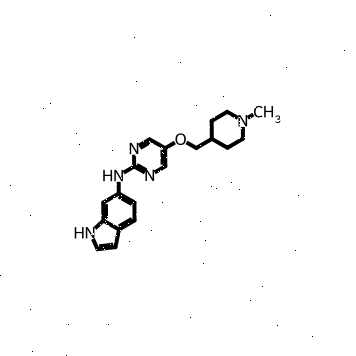 CN1CCC(COc2cnc(Nc3ccc4cc[nH]c4c3)nc2)CC1